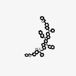 CC(Cc1ccc2c(ccc3c4cc5c(cc4n(-c4ccc6ccccc6c4)c23)c2ccc3cc(N(c4ccccc4)c4ccc6cc(-c7cc8ccccc8o7)ccc6c4)ccc3c2n5-c2ccc3ccccc3c2)c1)[C@H](c1ccccc1)c1ccc2cc(-c3cc4ccccc4o3)ccc2c1